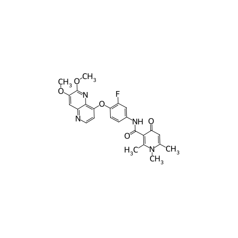 COc1cc2nccc(Oc3ccc(NC(=O)c4c(C)n(C)c(C)cc4=O)cc3F)c2nc1OC